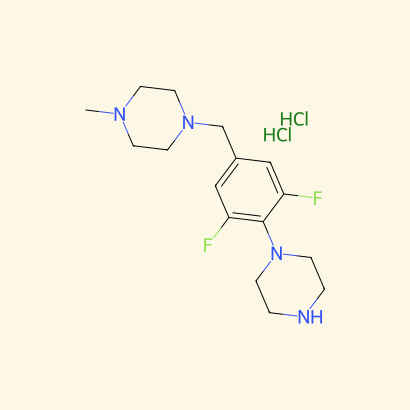 CN1CCN(Cc2cc(F)c(N3CCNCC3)c(F)c2)CC1.Cl.Cl